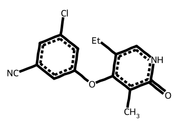 CCc1c[nH]c(=O)c(C)c1Oc1cc(Cl)cc(C#N)c1